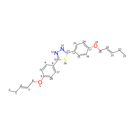 CC/C=C/COc1ccc(-c2nnc(-c3ccc(OC/C=C/CC)cc3)s2)cc1